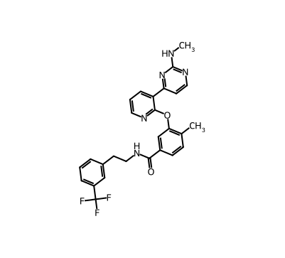 CNc1nccc(-c2cccnc2Oc2cc(C(=O)NCCc3cccc(C(F)(F)F)c3)ccc2C)n1